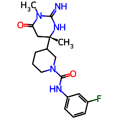 CN1C(=N)N[C@](C)(C2CCCN(C(=O)Nc3cccc(F)c3)C2)CC1=O